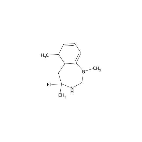 CCC1(C)CC2C(=CC=CC2C)N(C)CN1